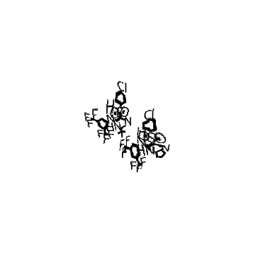 CC(NC(Nc1cc(C(F)(F)F)cc(C(F)(F)F)c1)=C(C#N)S(=O)(=O)c1ccc(Cl)cc1)C(C)(C)C.N#CC(=C(Nc1cc(C(F)(F)F)cc(C(F)(F)F)c1)NC1CCCC1)S(=O)(=O)c1ccc(Cl)cc1